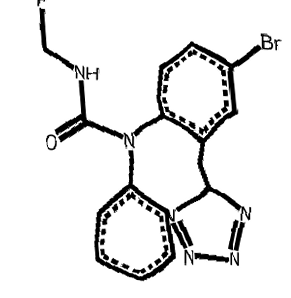 O=C(NCF)N(c1ccccc1)c1ccc(Br)cc1C1N=NN=N1